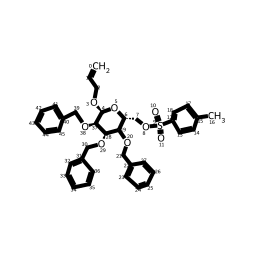 C=CCO[C@H]1O[C@H](COS(=O)(=O)c2ccc(C)cc2)C(OCc2ccccc2)[C@H](OCc2ccccc2)[C@H]1OCc1ccccc1